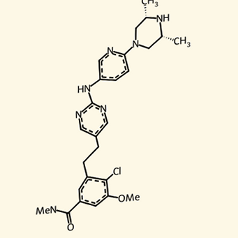 CNC(=O)c1cc(CCc2cnc(Nc3ccc(N4C[C@@H](C)N[C@@H](C)C4)nc3)nc2)c(Cl)c(OC)c1